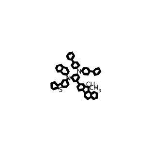 CC1(C)c2cc(-c3cc(N(c4ccc(-c5ccccc5)cc4)c4ccc(-c5ccccc5)cc4)cc(N(c4ccc5ccccc5c4)c4ccc5sc6ccccc6c5c4)c3)ccc2-c2ccc3ccccc3c21